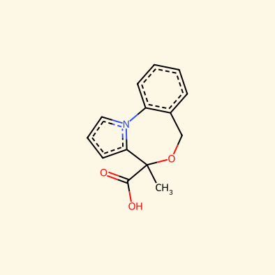 CC1(C(=O)O)OCc2ccccc2-n2cccc21